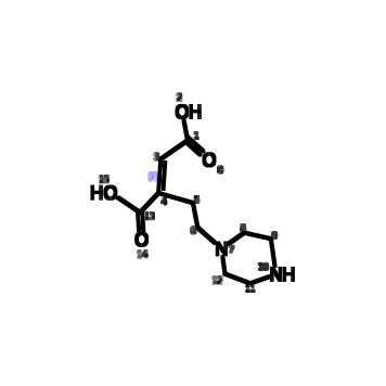 O=C(O)/C=C(\CCN1CCNCC1)C(=O)O